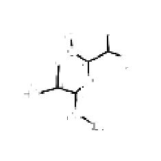 CCOC(OC(OCC)C(C)O)C(C)O